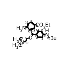 CCCCNc1ccc(C(=O)OCCN(C)C)cc1.CCOC(=O)c1ccc(N)cc1